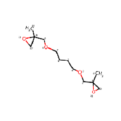 CC1(COCCCCOCC2(C)CO2)CO1